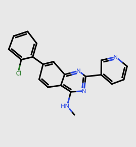 CNc1nc(-c2cccnc2)nc2cc(-c3ccccc3Cl)ccc12